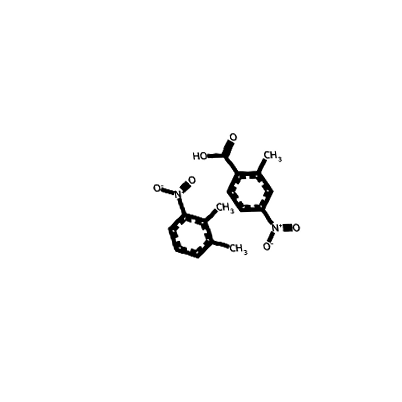 Cc1cc([N+](=O)[O-])ccc1C(=O)O.Cc1cccc([N+](=O)[O-])c1C